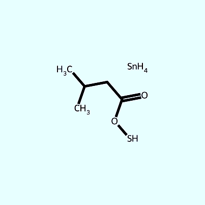 CC(C)CC(=O)OS.[SnH4]